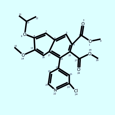 COC(=O)c1cc2cc(OC(C)C)c(OC)cc2c(-c2ccnc(Cl)c2)c1C(=O)OC